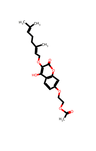 CC(=O)OCCOc1ccc2c(O)c(OC/C=C(\C)CCC=C(C)C)c(=O)oc2c1